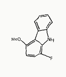 COc1ccc(F)c2[nH]c3ccccc3c12